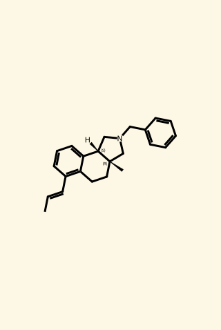 CC=Cc1cccc2c1CC[C@@]1(C)CN(Cc3ccccc3)C[C@@H]21